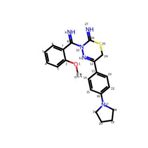 CCOc1ccccc1C(=N)N1N=C(c2ccc(N3CCCC3)cc2)CSC1=N